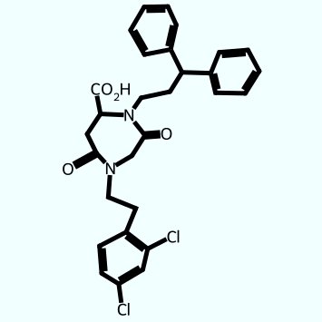 O=C(O)C1CC(=O)N(CCc2ccc(Cl)cc2Cl)CC(=O)N1CCC(c1ccccc1)c1ccccc1